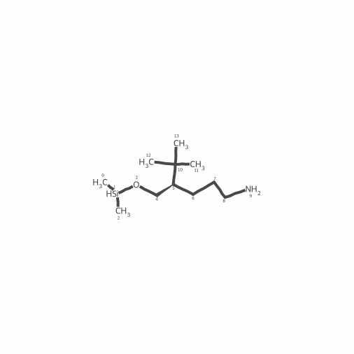 C[SiH](C)OC[C@H](CCCN)C(C)(C)C